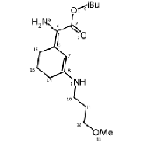 CCC(C)OC(=O)/C(N)=C1\C=C(NCCCOC)CCC1